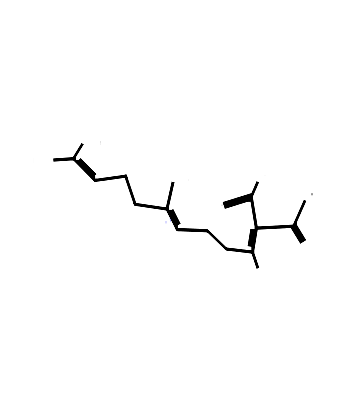 CC(C)=CCC/C(C)=C/CCC(C)=C(C(=O)O)C(=O)O